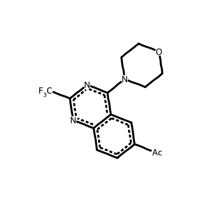 CC(=O)c1ccc2nc(C(F)(F)F)nc(N3CCOCC3)c2c1